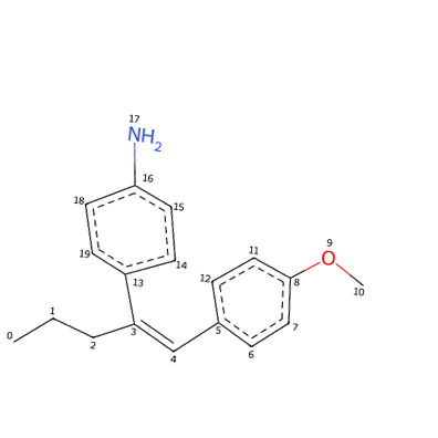 CCCC(=Cc1ccc(OC)cc1)c1ccc(N)cc1